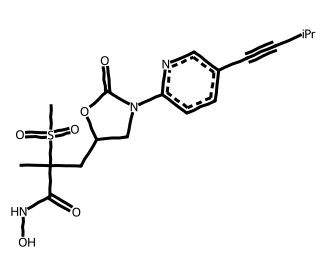 CC(C)C#Cc1ccc(N2CC(CC(C)(C(=O)NO)S(C)(=O)=O)OC2=O)nc1